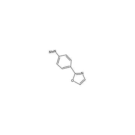 CNc1ccc(-c2ncco2)cc1